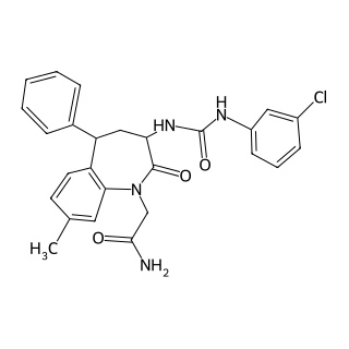 Cc1ccc2c(c1)N(CC(N)=O)C(=O)C(NC(=O)Nc1cccc(Cl)c1)CC2c1ccccc1